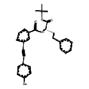 CC(C)(C)OC(=O)[C@H](CCc1ccccc1)NC(=O)c1cccc(C#Cc2ccc(O)cc2)c1